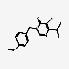 COc1ccc(Cn2cnc(C(F)I)c(Br)c2=O)cc1